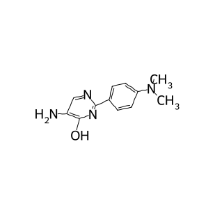 CN(C)c1ccc(-c2ncc(N)c(O)n2)cc1